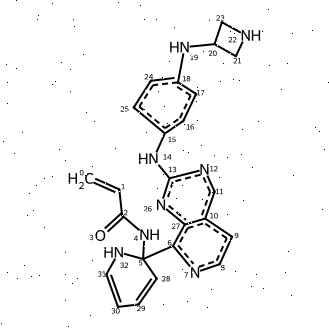 C=CC(=O)NC1(c2nccc3cnc(Nc4ccc(NC5CNC5)cc4)nc23)C=CC=CN1